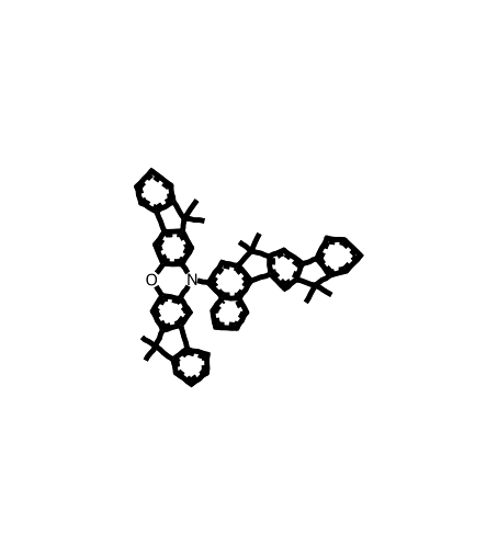 CC1(C)c2ccccc2-c2cc3c(cc21)Oc1cc2c(cc1N3c1cc3c(c4ccccc14)-c1cc4c(cc1C3(C)C)-c1ccccc1C4(C)C)C(C)(C)c1ccccc1-2